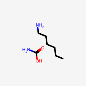 CCCCCCN.NC(=O)O